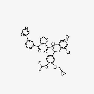 O=C(OC(Cc1c(Cl)c[n+]([O-])cc1Cl)c1ccc(OC(F)F)c(OCC2CC2)c1)C1SCCN1C(=O)c1cccc(-c2cnco2)c1